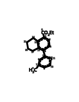 CCOC(=O)c1ccc(-c2cc(C)ccn2)c2c1CCCC2